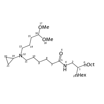 CCCCCCCCC(CCCCCC)CNC(=O)CCCCCN(CCCC(OC)OC)C1CC1